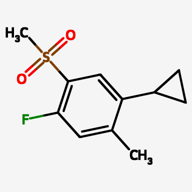 Cc1cc(F)c(S(C)(=O)=O)cc1C1CC1